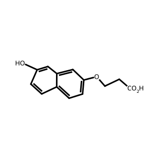 O=C(O)CCOc1ccc2ccc(O)cc2c1